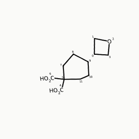 C1COC1.O=C(O)C1(C(=O)O)CCCCC1